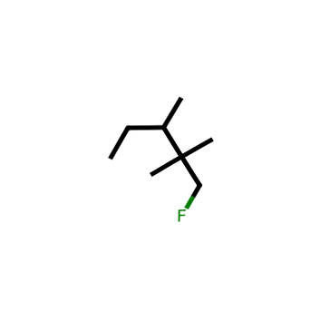 CCC(C)C(C)(C)CF